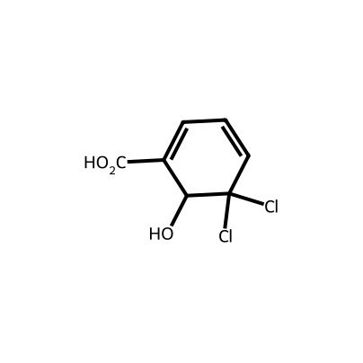 O=C(O)C1=CC=CC(Cl)(Cl)C1O